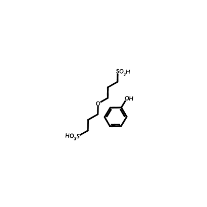 O=S(=O)(O)CCCOCCCS(=O)(=O)O.Oc1ccccc1